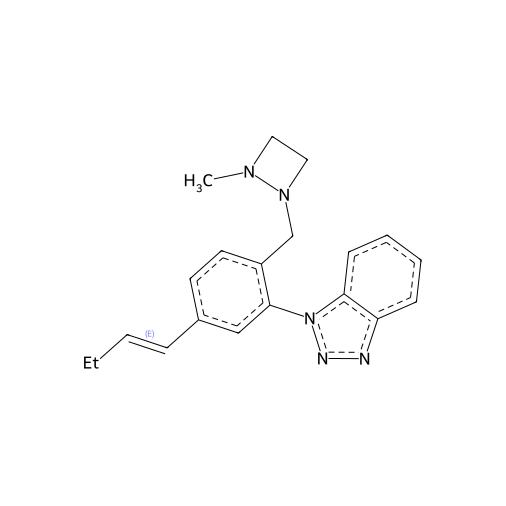 CC/C=C/c1ccc(CN2CCN2C)c(-n2nnc3ccccc32)c1